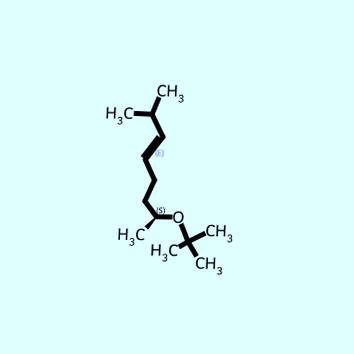 CC(C)/C=C/CC[C@H](C)OC(C)(C)C